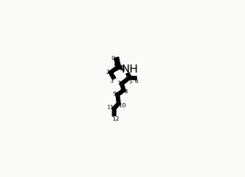 C=C(CC)NC(C)CCCCCC